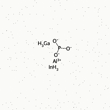 [Al+3].[GaH3].[InH3].[O-]P([O-])[O-]